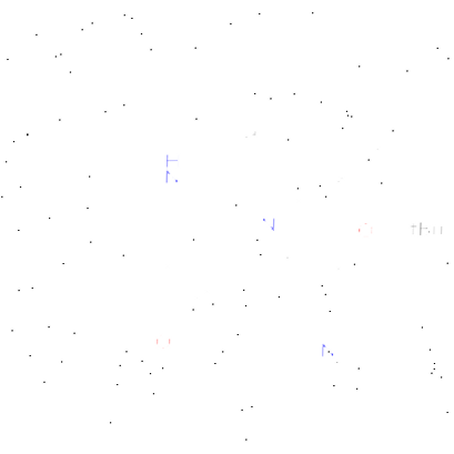 CC(C)(C)Oc1cncc2c(=O)cc(Nc3ccccc3)n(-c3ccccc3)c12